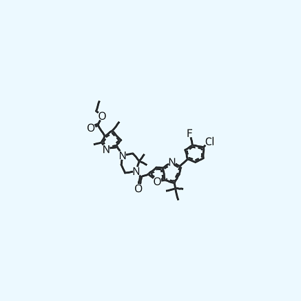 CCOC(=O)c1c(C)cc(N2CCN(C(=O)c3cc4nc(-c5ccc(Cl)c(F)c5)cc(C(C)(C)C)c4o3)C(C)(C)C2)nc1C